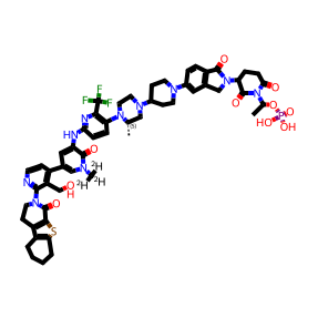 [2H]C([2H])([2H])n1cc(-c2ccnc(N3CCc4c(sc5c4CCCC5)C3=O)c2CO)cc(Nc2ccc(N3CCN(C4CCN(c5ccc6c(c5)CN(C5CCC(=O)N(C(C)OP(=O)(O)O)C5=O)C6=O)CC4)C[C@@H]3C)c(C(F)(F)F)n2)c1=O